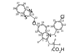 Cc1c(CC(C)(C)C(=O)O)n(Cc2ccc(Cl)cc2)c2ccc(OCc3nc4ccccc4s3)cc12